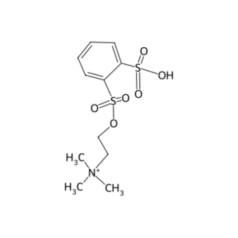 C[N+](C)(C)CCOS(=O)(=O)c1ccccc1S(=O)(=O)O